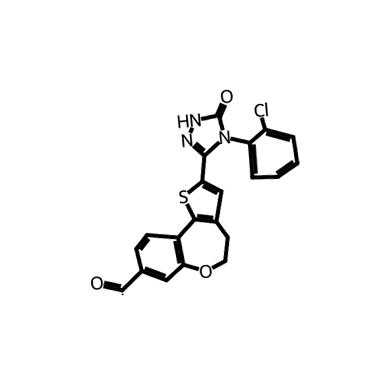 O=[C]c1ccc2c(c1)OCCc1cc(-c3n[nH]c(=O)n3-c3ccccc3Cl)sc1-2